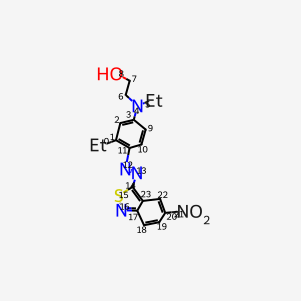 CCc1cc(N(CC)CCO)ccc1N=Nc1snc2ccc([N+](=O)[O-])cc12